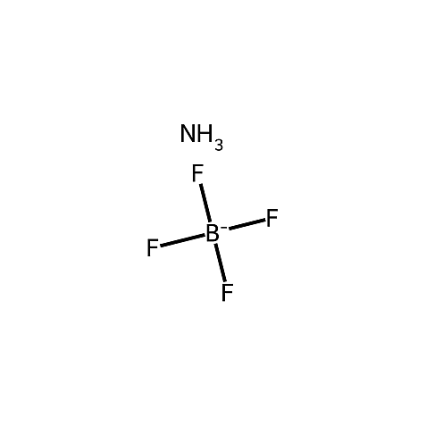 F[B-](F)(F)F.N